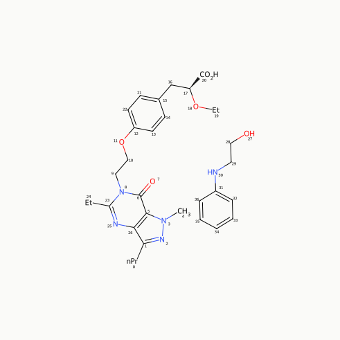 CCCc1nn(C)c2c(=O)n(CCOc3ccc(C[C@H](OCC)C(=O)O)cc3)c(CC)nc12.OCCNc1ccccc1